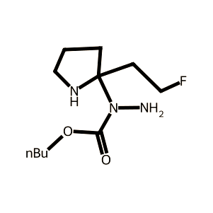 CCCCOC(=O)N(N)C1(CCF)CCCN1